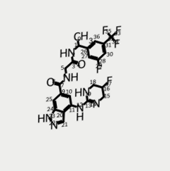 CC(NC(=O)CNC(=O)c1cc(NC2=NCC(F)CN2)c2cn[nH]c2c1)c1cc(F)cc(C(F)(F)F)c1